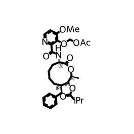 COc1ccnc(C(=O)N[C@H]2CCCC[C@H](Cc3ccccc3)[C@@H](OC(=O)C(C)C)[C@H](C)OC2=O)c1OCOC(C)=O